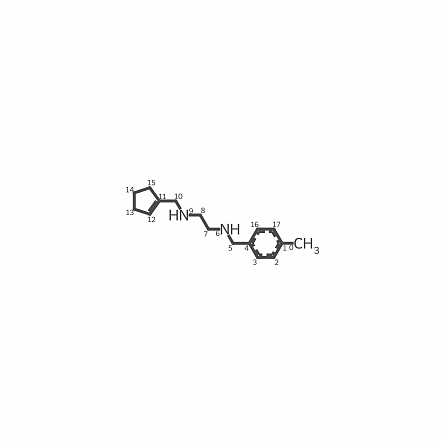 Cc1ccc(CNCCNCC2=CCCC2)cc1